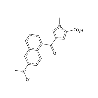 Cn1cc(C(=O)c2cccc3cc([S+](C)[O-])ccc23)cc1C(=O)O